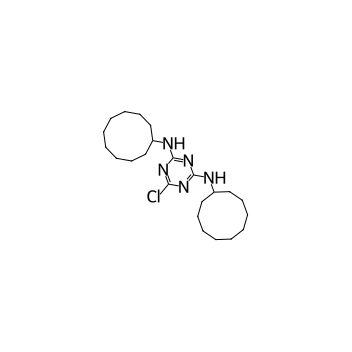 Clc1nc(NC2CCCCCCCCC2)nc(NC2CCCCCCCCC2)n1